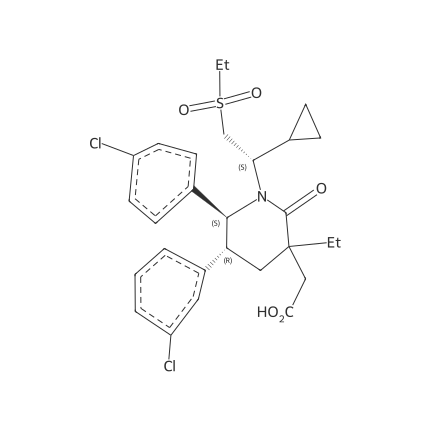 CCC1(CC(=O)O)C[C@H](c2cccc(Cl)c2)[C@@H](c2ccc(Cl)cc2)N([C@H](CS(=O)(=O)CC)C2CC2)C1=O